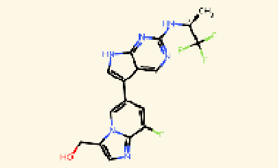 C[C@H](Nc1ncc2c(-c3cc(F)c4ncc(CO)n4c3)c[nH]c2n1)C(F)(F)F